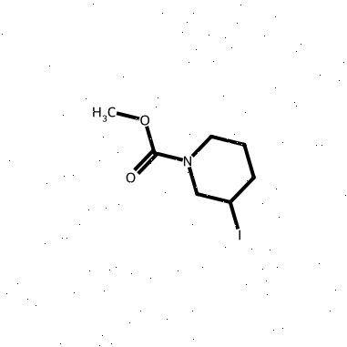 COC(=O)N1CCCC(I)C1